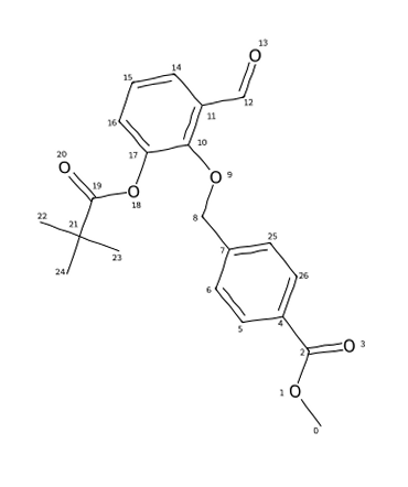 COC(=O)c1ccc(COc2c(C=O)cccc2OC(=O)C(C)(C)C)cc1